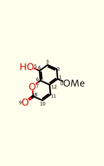 COc1ccc(O)c2oc(=O)ccc12